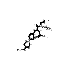 CCCN(OCC)C(=O)C1=Cc2ccc(N3CCC(CN)CC3)cc2N=C(N)C1